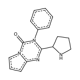 O=c1n(-c2ccccc2)c(C2CCCN2)nc2cccn12